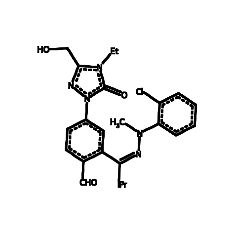 CCn1c(CO)nn(-c2ccc(C=O)c(/C(=N\N(C)c3ccccc3Cl)C(C)C)c2)c1=O